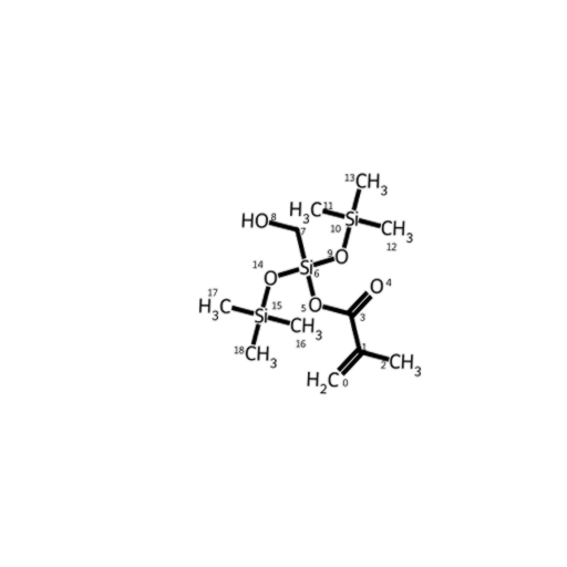 C=C(C)C(=O)O[Si](CO)(O[Si](C)(C)C)O[Si](C)(C)C